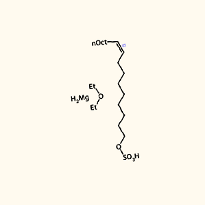 CCCCCCCC/C=C\CCCCCCCCOS(=O)(=O)O.CCOCC.[MgH2]